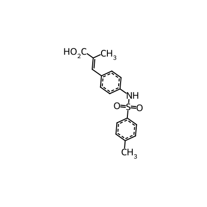 C/C(=C\c1ccc(NS(=O)(=O)c2ccc(C)cc2)cc1)C(=O)O